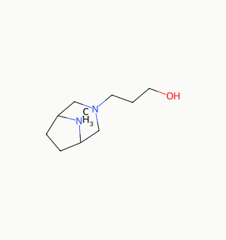 CN1C2CCC1CN(CCCO)C2